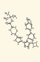 CC(C)(C)OC(=O)N1CCC(c2nc(-c3nc(C4(c5ccc(-c6cnc(N)nc6)cc5)CCC4)no3)cs2)CC1